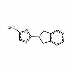 O=Cc1csc(N2Cc3ccccc3C2)n1